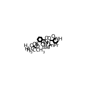 CCCC(N(NC(=O)c1cccc(B2OC(C)(C)C(C)(C)O2)c1C)C(=O)c1ccc[nH]c1=O)C(C)(C)C